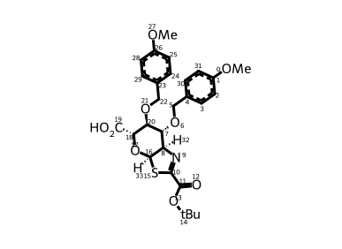 COc1ccc(CO[C@@H]2[C@H]3N=C(C(=O)OC(C)(C)C)S[C@H]3O[C@H](C(=O)O)[C@H]2OCc2ccc(OC)cc2)cc1